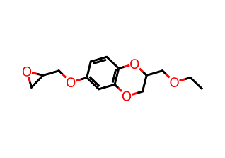 CCOCC1COc2cc(OCC3CO3)ccc2O1